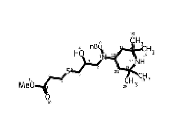 CCCCN(CC(O)CSCCC(=O)OC)C1CC(C)(C)NC(C)(C)C1